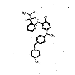 CN1CCN(Cc2ccc(N(C)c3ncc(Cl)c(Nc4ccccc4S(=O)(=O)N(C)C)n3)cc2)CC1